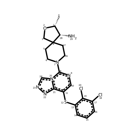 C[C@H]1OCC2(CCN(c3ncc(Sc4cccc(Cl)c4Cl)c4nncn34)CC2)[C@H]1N